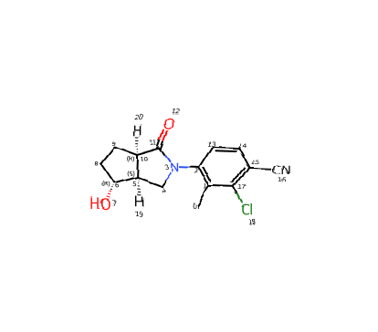 Cc1c(N2C[C@H]3[C@H](O)CC[C@H]3C2=O)ccc(C#N)c1Cl